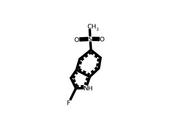 CS(=O)(=O)c1ccc2[nH]c(F)cc2c1